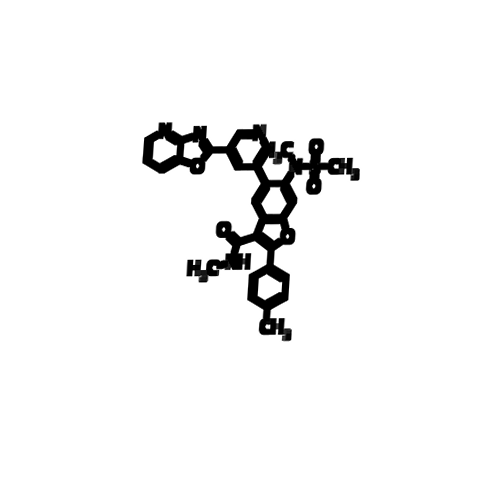 CNC(=O)c1c(-c2ccc(C)cc2)oc2cc(N(C)S(C)(=O)=O)c(-c3cncc(-c4nc5ncccc5o4)c3)cc12